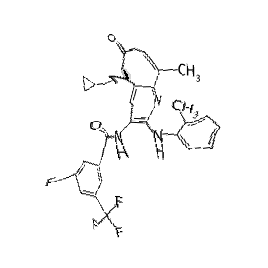 Cc1ccccc1Nc1nc2c(C)cc(=O)n(C3CC3)c2cc1NC(=O)c1cc(F)cc(C(F)(F)F)c1